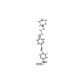 O=CNc1ccc(C#Cc2ccc(OCCCN3CCOCC3)cc2)cc1